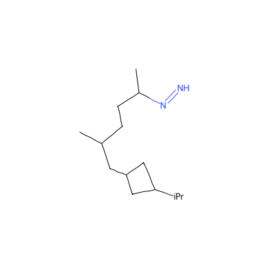 CC(CCC(C)N=N)CC1CC(C(C)C)C1